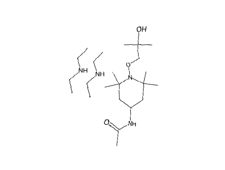 CC(=O)NC1CC(C)(C)N(OCC(C)(C)O)C(C)(C)C1.CCNCC.CCNCC